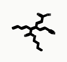 C=CC=CC(C(=O)OCCCC)=C(C=CC#N)C=CC(=O)O